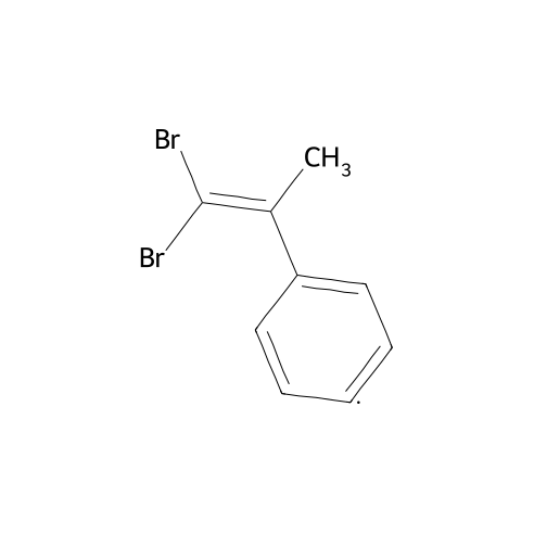 CC(=C(Br)Br)c1cc[c]cc1